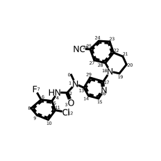 CN(C(=O)Nc1c(F)cccc1Cl)c1ccnc(N2CCCc3ccc(C#N)cc32)c1